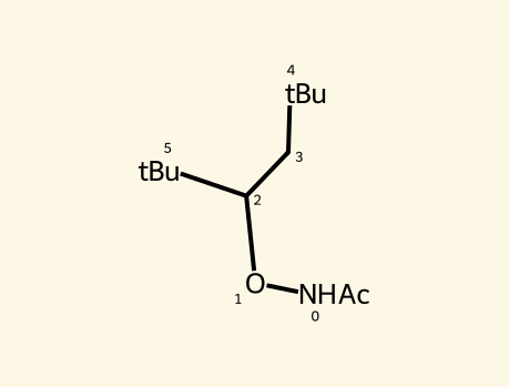 CC(=O)NOC(CC(C)(C)C)C(C)(C)C